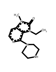 CCn1c(=O)n(C)c2ccnc(N3CCNCC3)c21